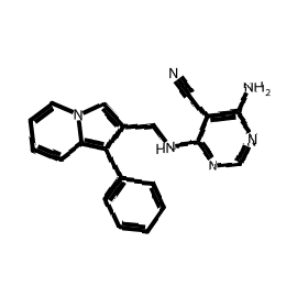 N#Cc1c(N)ncnc1NCc1cn2ccccc2c1-c1ccccc1